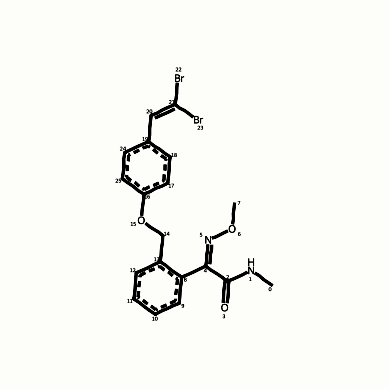 CNC(=O)C(=NOC)c1ccccc1COc1ccc(C=C(Br)Br)cc1